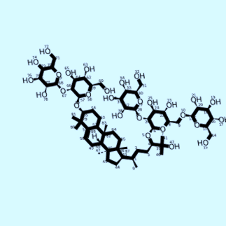 C[C@H](CC[C@@H](O[C@@H]1O[C@H](CO[C@@H]2O[C@H](CO)[C@@H](O)[C@H](O)[C@H]2O)[C@@H](O)[C@H](O)[C@H]1O[C@@H]1O[C@H](CO)[C@@H](O)[C@H](O)[C@H]1O)C(C)(C)O)[C@H]1CC[C@@]2(C)[C@@H]3CC=C4C(CC[C@H](O[C@@H]5O[C@H](CO)[C@@H](O)[C@H](O)[C@H]5O[C@@H]5OC(CO)C(O)[C@H](O)[C@H]5O)C4(C)C)[C@]3(C)CC[C@]12C